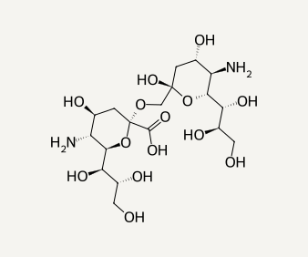 N[C@H]1[C@H]([C@H](O)[C@H](O)CO)O[C@](O)(CO[C@@]2(C(=O)O)C[C@H](O)[C@@H](N)[C@H]([C@H](O)[C@H](O)CO)O2)C[C@@H]1O